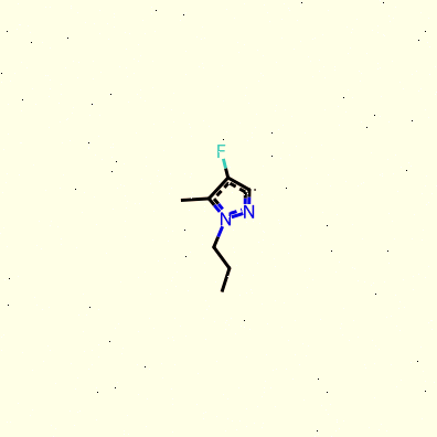 CCCn1n[c]c(F)c1C